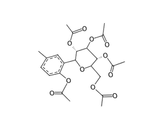 CC(=O)OCC1OC(c2cc(C)ccc2OC(C)=O)[C@H](OC(C)=O)C(OC(C)=O)[C@@H]1OC(C)=O